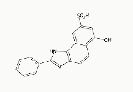 O=S(=O)(O)c1cc(O)c2ccc3nc(-c4ccccc4)[nH]c3c2c1